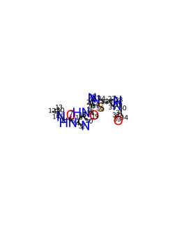 Cc1ncc(NC(=O)CN2CC(C)(C)C2)cc1NC(=O)c1cnn2cc(-c3cnn(CC4COC4)c3)sc12